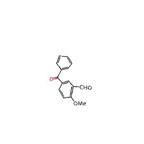 COc1ccc(C(=O)c2ccccc2)cc1C=O